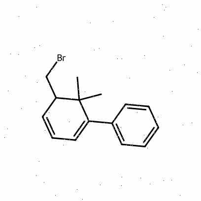 CC1(C)C(c2ccccc2)=CC=CC1CBr